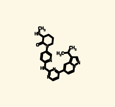 CNC1CCCN(c2ccc(Nc3nccc(-c4ccn5ncc(C(C)C)c5c4)n3)nc2)C1=O